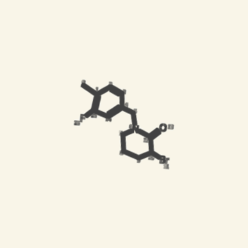 Cc1ccc(CN2CCCC(Br)C2=O)cc1F